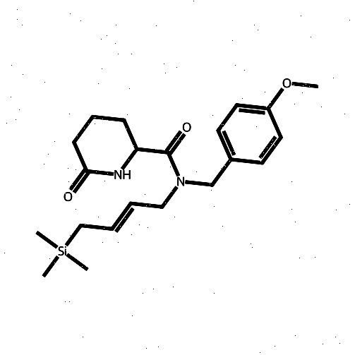 COc1ccc(CN(CC=CC[Si](C)(C)C)C(=O)C2CCCC(=O)N2)cc1